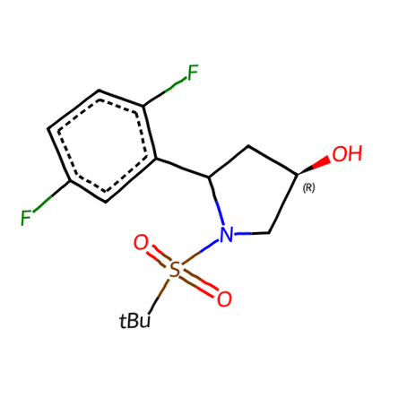 CC(C)(C)S(=O)(=O)N1C[C@H](O)CC1c1cc(F)ccc1F